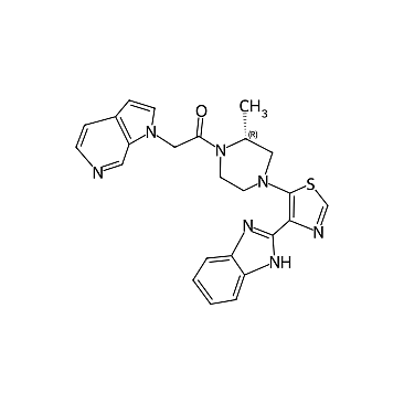 C[C@@H]1CN(c2scnc2-c2nc3ccccc3[nH]2)CCN1C(=O)Cn1ccc2ccncc21